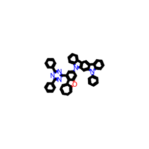 C1=CCC=c2oc3cc(-n4c5ccccc5c5cc6c7ccccc7n(-c7ccccc7)c6cc54)cc(-c4nc(-c5ccccc5)nc(-c5ccccc5)n4)c3c2=C1